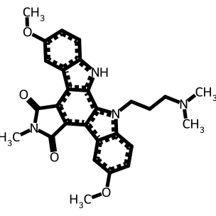 COc1ccc2[nH]c3c(c4c(c5c6cc(OC)ccc6n(CCCN(C)C)c35)C(=O)N(C)C4=O)c2c1